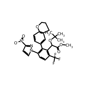 COC(=O)C(OC(C)(C)C)c1c(C(F)(F)F)ccc(-n2ccc([N+](=O)[O-])n2)c1-c1ccc2c(c1)CCCO2